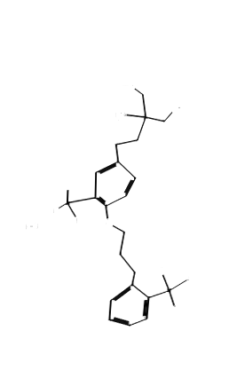 Cl.NC(CO)(CO)CCc1ccc(OCCCc2ccccc2C(F)(F)F)c(C(F)(F)F)c1